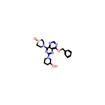 [O-][S+]1CCN(c2nc(N3CCCC(O)C3)nc3c(OCc4ccccc4)ncnc23)CC1